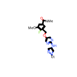 CCn1cc(Nc2ncc(OCc3cc(C(=O)NC)cc(OC)c3F)cn2)cn1